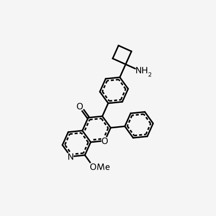 COc1nccc2c(=O)c(-c3ccc(C4(N)CCC4)cc3)c(-c3ccccc3)oc12